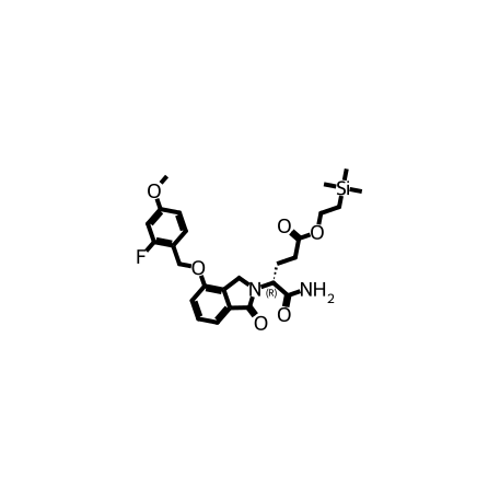 COc1ccc(COc2cccc3c2CN([C@H](CCC(=O)OCC[Si](C)(C)C)C(N)=O)C3=O)c(F)c1